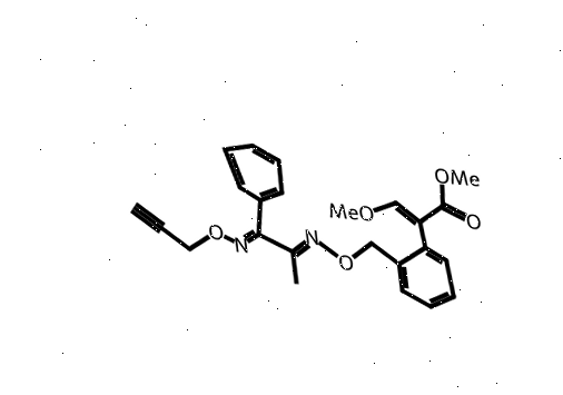 C#CCO/N=C(/C(C)=N/OCc1ccccc1/C(=C\OC)C(=O)OC)c1ccccc1